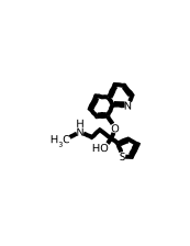 CNCCC(O)(Oc1cccc2cccnc12)c1cccs1